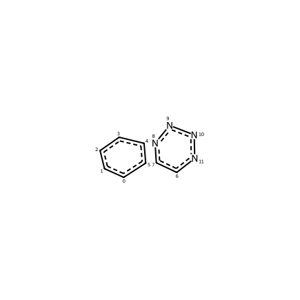 c1ccccc1.c1cnnnn1